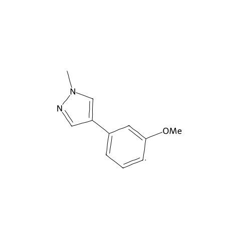 COc1[c]ccc(-c2cnn(C)c2)c1